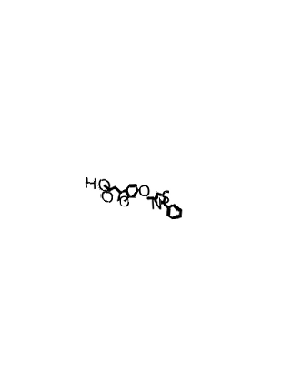 O=C(O)CC1COc2cc(OCc3csc(-c4ccccc4)n3)ccc21